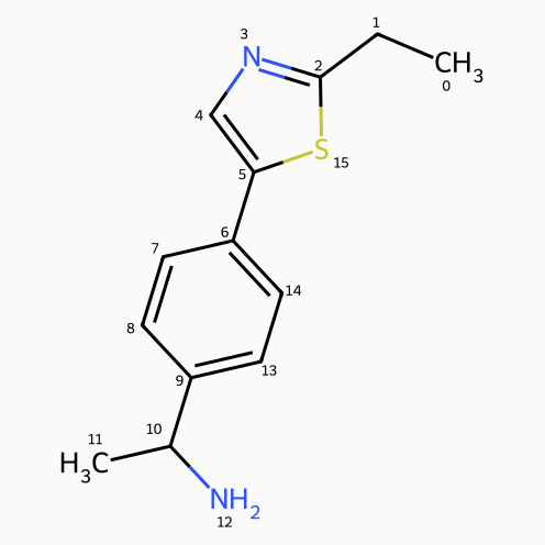 CCc1ncc(-c2ccc(C(C)N)cc2)s1